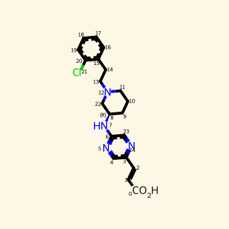 O=C(O)C=Cc1cnc(N[C@@H]2CCCN(CCc3ccccc3Cl)C2)cn1